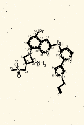 C=CCn1cc(-c2nccc(Nc3cc4c(C(C)C)ccc(N5C[C@H](CS(C)(=O)=O)[C@H]5N)c4cn3)n2)cn1